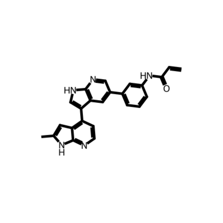 C=CC(=O)Nc1cccc(-c2cnc3[nH]cc(-c4ccnc5[nH]c(C)cc45)c3c2)c1